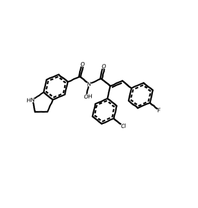 O=C(C(=Cc1ccc(F)cc1)c1cccc(Cl)c1)N(O)C(=O)c1ccc2c(c1)CCN2